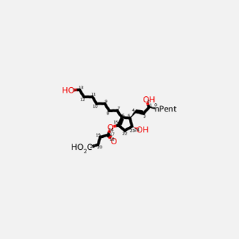 CCCCC[C@H](O)/C=C/[C@@H]1C(CCCCCCCO)=C(OC(=O)CCC(=O)O)C[C@H]1O